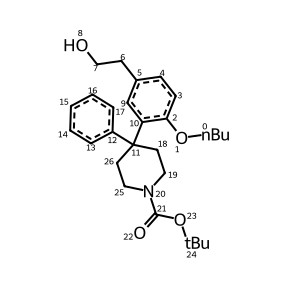 CCCCOc1ccc(CCO)cc1C1(c2ccccc2)CCN(C(=O)OC(C)(C)C)CC1